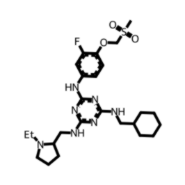 CCN1CCCC1CNc1nc(NCC2CCCCC2)nc(Nc2ccc(OCS(C)(=O)=O)c(F)c2)n1